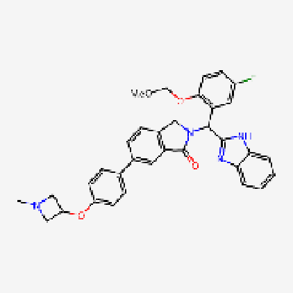 COCOc1ccc(F)cc1C(c1nc2ccccc2[nH]1)N1Cc2ccc(-c3ccc(OC4CN(C)C4)cc3)cc2C1=O